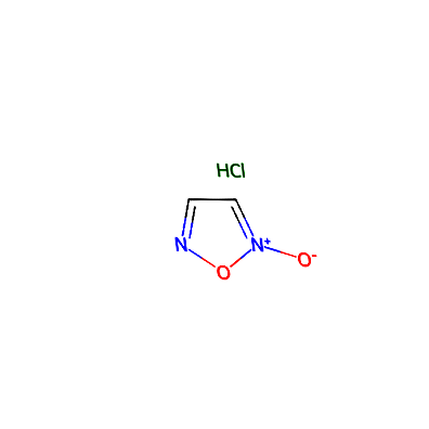 Cl.[O-][n+]1ccno1